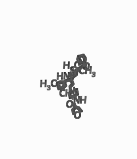 Cc1cc(C)cc(-c2[nH]c3sc(C(C)(C)C(=O)N4C5CCC4CC5)cc3c2CCN2CCC(NC(=O)C3CCOCC3)CC2)c1